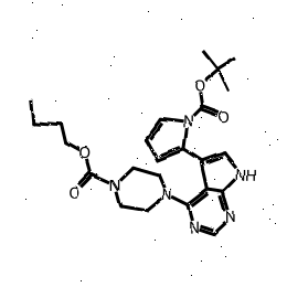 CCCCOC(=O)N1CCN(c2ncnc3[nH]cc(-c4cccn4C(=O)OC(C)(C)C)c23)CC1